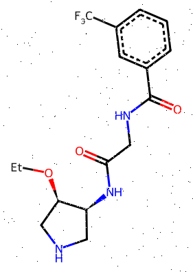 CCO[C@@H]1CNC[C@@H]1NC(=O)CNC(=O)c1cccc(C(F)(F)F)c1